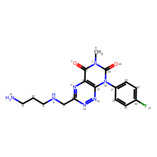 Cn1c(=O)c2nc(CNCCCN)nnc2n(-c2ccc(F)cc2)c1=O